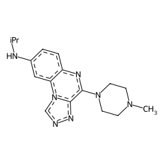 CC(C)Nc1ccc2nc(N3CCN(C)CC3)c3nncn3c2c1